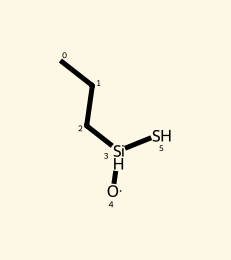 CCC[SiH]([O])S